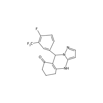 O=C1CCCC2=C1C(c1ccc(F)c(C(F)(F)F)c1)n1nccc1N2